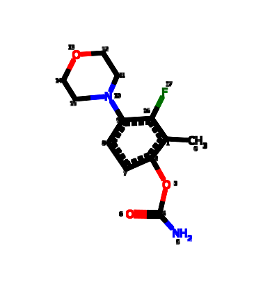 Cc1c(OC(N)=O)ccc(N2CCOCC2)c1F